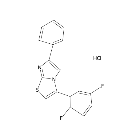 Cl.Fc1ccc(F)c(-c2csc3nc(-c4ccccc4)cn23)c1